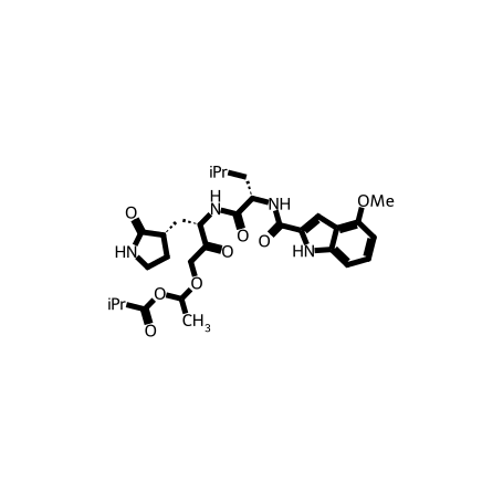 COc1cccc2[nH]c(C(=O)N[C@@H](CC(C)C)C(=O)N[C@@H](C[C@@H]3CCNC3=O)C(=O)COC(C)OC(=O)C(C)C)cc12